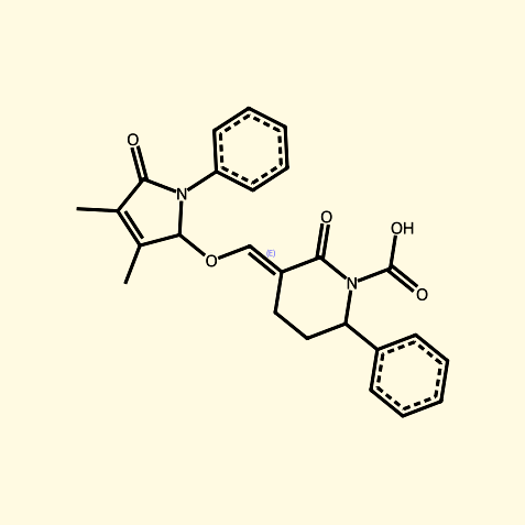 CC1=C(C)C(O/C=C2\CCC(c3ccccc3)N(C(=O)O)C2=O)N(c2ccccc2)C1=O